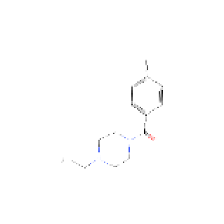 CCc1ccc(C(=O)N2CCN(CC(C)C)CC2)cc1